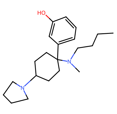 CCCCN(C)C1(c2cccc(O)c2)CCC(N2CCCC2)CC1